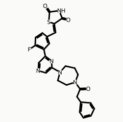 O=C1NC(=O)/C(=C/c2ccc(F)c(-c3cncc(N4CCCN(C(=O)Cc5ccccc5)CC4)n3)c2)S1